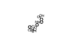 CC(C)c1onc(-c2c(Cl)cccc2Cl)c1COc1ccc(Nc2cccc3ccc(C(=O)O)cc23)cc1